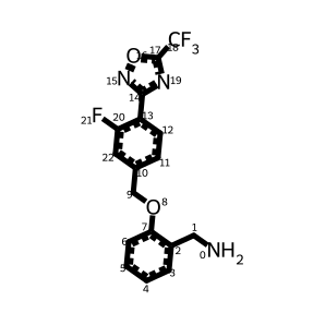 NCc1ccccc1OCc1ccc(-c2noc(C(F)(F)F)n2)c(F)c1